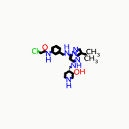 CC(C)c1cnn2c(NCc3cccc(NC(=O)CCl)c3)cc(NC[C@H]3CCNC[C@@H]3O)nc12